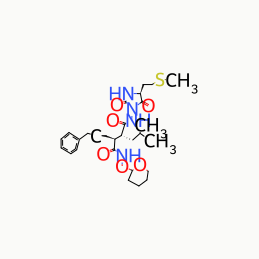 CSCC[C@@H]1NC(=O)N(NC(=O)[C@H](CC(C)C)[C@H](CCCc2ccccc2)C(=O)NOC2CCCCO2)C1=O